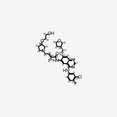 O=C(Nc1cc2c(Nc3ccc(F)c(Cl)c3)ncnc2cc1OC[C@H]1CCOC1)/C(F)=C/CN1CC[C@@H](OCCO)C1